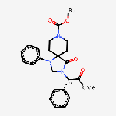 COC(=O)[C@H](c1ccccc1)N1CN(c2ccccc2)C2(CCN(C(=O)OC(C)(C)C)CC2)C1=O